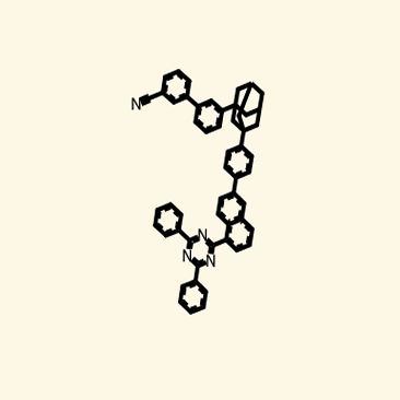 N#Cc1cccc(-c2cccc(C34CC5CC(CC(c6ccc(-c7ccc8c(-c9nc(-c%10ccccc%10)nc(-c%10ccccc%10)n9)cccc8c7)cc6)(C5)C3)C4)c2)c1